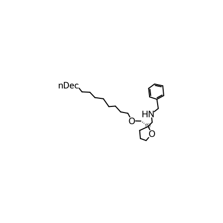 CCCCCCCCCCCCCCCCCCOC[C@@]1(CNCc2ccccc2)CCCO1